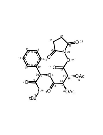 CC(=O)O[C@@H](C(=O)O[C@@H](C(=O)OC(C)(C)C)c1ccccc1)[C@@H](OC(C)=O)C(=O)ON1C(=O)CCC1=O